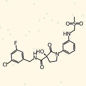 CS(=O)(=O)CNc1cccc(N2CC[C@](O)(C(=O)NCc3cc(F)cc(Cl)c3)C2=O)c1